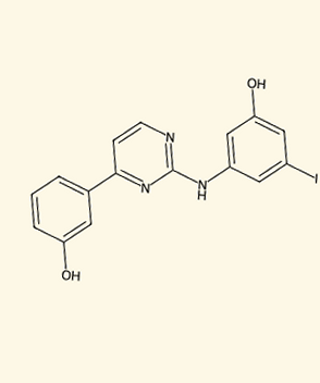 Oc1cc(I)cc(Nc2nccc(-c3cccc(O)c3)n2)c1